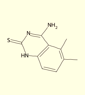 Cc1ccc2[nH]c(=S)nc(N)c2c1C